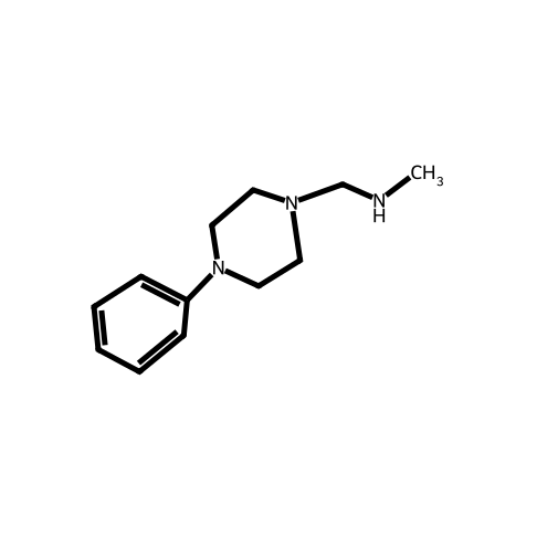 CNCN1CCN(c2ccccc2)CC1